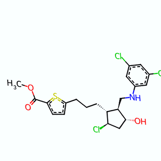 COC(=O)c1ccc(CCC[C@@H]2[C@@H](CNc3cc(Cl)cc(Cl)c3)[C@H](O)C[C@H]2Cl)s1